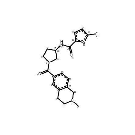 CN1CCc2cc(C(=O)N3CC[C@@H](NC(=O)c4ccc(Cl)s4)C3)ccc2C1